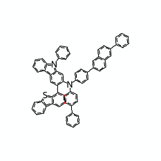 c1ccc(-c2ccc(N(c3ccc(-c4ccc5cc(-c6ccccc6)ccc5c4)cc3)c3cc4c(cc3-c3cccc5c3sc3ccccc35)c3ccccc3n4-c3ccccc3)cc2)cc1